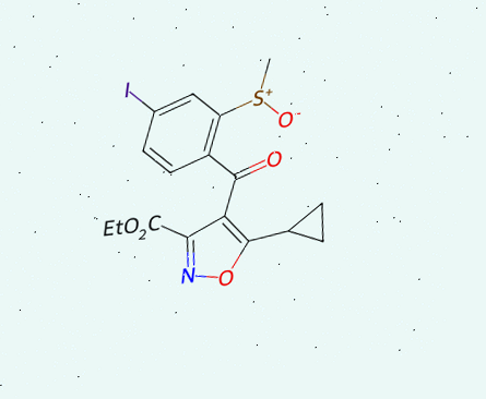 CCOC(=O)c1noc(C2CC2)c1C(=O)c1ccc(I)cc1[S+](C)[O-]